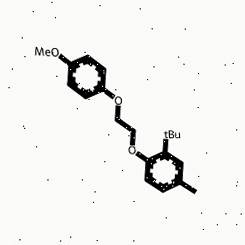 COc1ccc(OCCOc2ccc(C)cc2C(C)(C)C)cc1